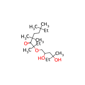 CCC(C)(C)CCC(C)(C)C(=O)C(C)(CC)OCC(O)CC(C)(O)CC